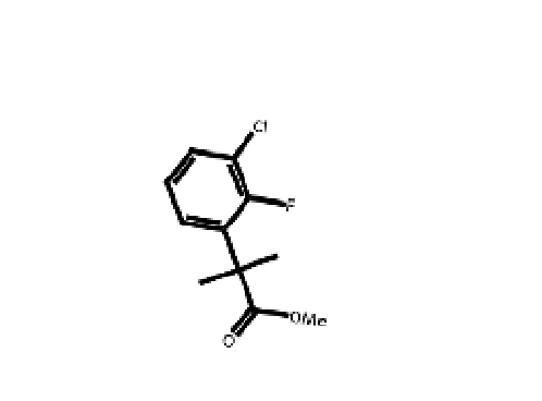 COC(=O)C(C)(C)c1cccc(Cl)c1F